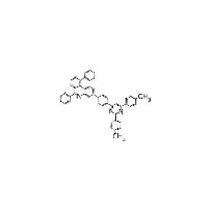 Cc1ccc(-c2cc(-c3ccc(-c4ccc5c(c4)nc(-c4ccccc4)c4cccc(-c6ccccc6)c45)cc3)nc(-c3ccc(C)cc3)n2)cc1